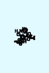 CCCS(=O)(=O)Nc1cc(Cl)cc(C2=C(c3ccnc(N)n3)OC(C)(CC(C)C)C2=O)c1F